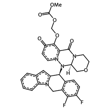 COC(=O)OCOc1c2n(ccc1=O)N([C@H]1c3ccc(F)c(F)c3Cn3c1cc1ccccc13)[C@@H]1COCCN1C2=O